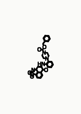 O=C1C(Nc2ccccc2N2CCN(C(=O)OCc3ccccc3)CC2)=CC2=NS(=O)(=O)c3cccc1c32